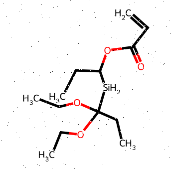 C=CC(=O)OC(CC)[SiH2]C(CC)(OCC)OCC